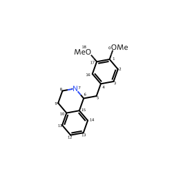 COc1ccc(CC2[N]CCc3ccccc32)cc1OC